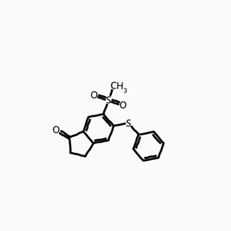 CS(=O)(=O)c1cc2c(cc1Sc1ccccc1)CCC2=O